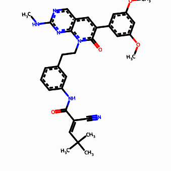 CNc1ncc2cc(-c3cc(OC)cc(OC)c3)c(=O)n(CCc3cccc(NC(=O)C(C#N)=CC(C)(C)C)c3)c2n1